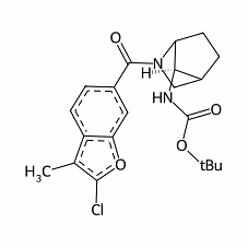 Cc1c(Cl)oc2cc(C(=O)N3CC4CCC3[C@@H]4NC(=O)OC(C)(C)C)ccc12